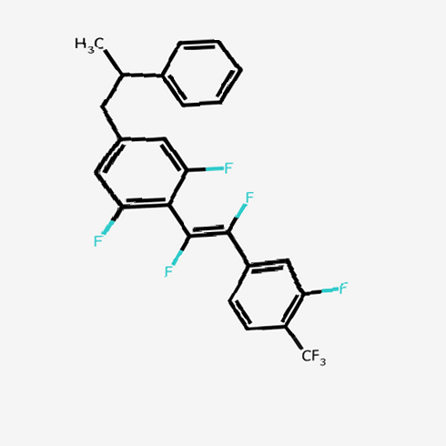 CC(Cc1cc(F)c(C(F)=C(F)c2ccc(C(F)(F)F)c(F)c2)c(F)c1)c1ccccc1